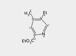 CCOC(=O)c1cc(C)c(CC)cn1